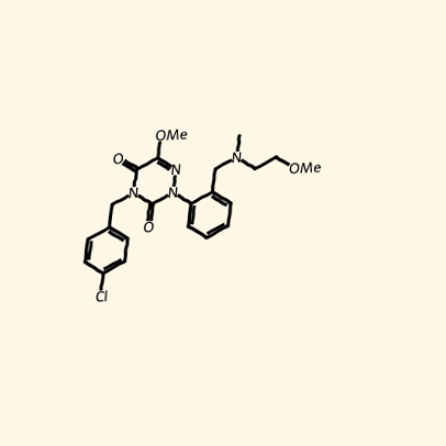 COCCN(C)Cc1ccccc1-n1nc(OC)c(=O)n(Cc2ccc(Cl)cc2)c1=O